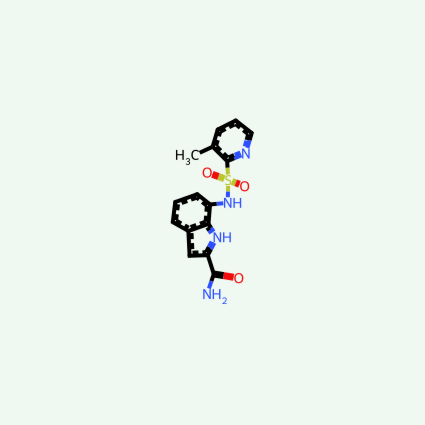 Cc1cccnc1S(=O)(=O)Nc1cccc2cc(C(N)=O)[nH]c12